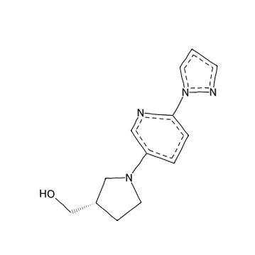 OC[C@H]1CCN(c2ccc(-n3cccn3)nc2)C1